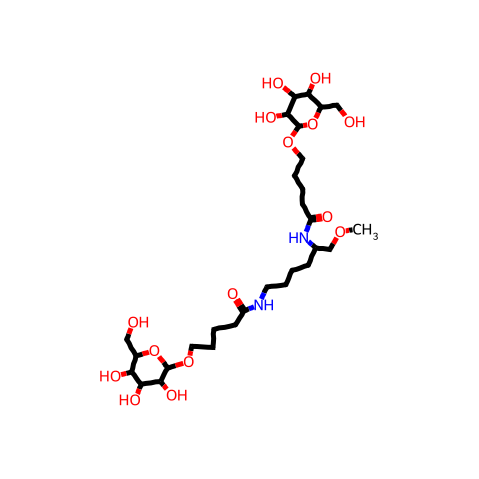 COCC(CCCCNC(=O)CCCCOC1OC(CO)C(O)C(O)C1O)NC(=O)CCCCOC1OC(CO)C(O)C(O)C1O